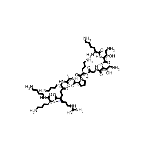 C[C@H](NC(=O)[C@@H]1CCCN1C(=O)[C@@H](CCCN)NC(=O)CNC(=O)[C@@H](NC(=O)[C@@H](NC(=O)[C@@H](N)CCCCN)[C@@H](O)CN)[C@@H](O)CN)C(=O)N[C@@H](CCCCN)C(=O)CC/C(=C\CCNC(=N)N)C(=O)N[C@@H](CCCCN)C(=O)NCCCCN